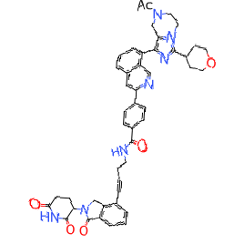 CC(=O)N1CCn2c(C3CCOCC3)nc(-c3cccc4cc(-c5ccc(C(=O)NCCC#Cc6cccc7c6CN(C6CCC(=O)NC6=O)C7=O)cc5)ncc34)c2C1